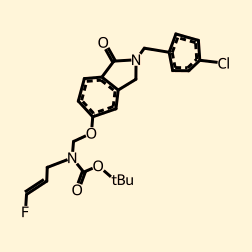 CC(C)(C)OC(=O)N(CC=CF)COc1ccc2c(c1)CN(Cc1ccc(Cl)cc1)C2=O